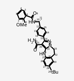 COc1ccccc1C(=O)N[C@H](C)c1ccc(-c2nn3c(c2C(N)=O)Nc2ccc(C(C)(C)C)cc2CC3)cc1